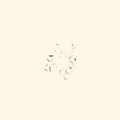 COC(=O)[C@H]1O[C@@H](CCc2cc(NC(=O)[C@H](C)NC(=O)[C@@H](NC(=O)OCC3c4ccccc4-c4ccccc43)C(C)C)ccc2CO[Si](C)(C)C(C)(C)C)[C@@H](O)[C@@H](O)[C@@H]1O